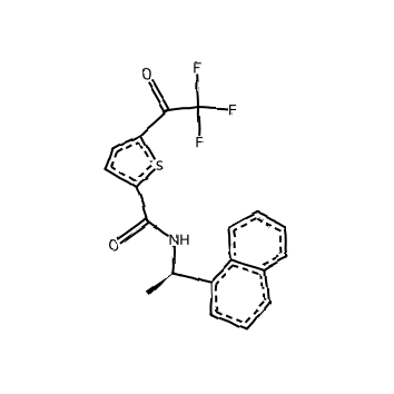 C[C@@H](NC(=O)c1ccc(C(=O)C(F)(F)F)s1)c1cccc2ccccc12